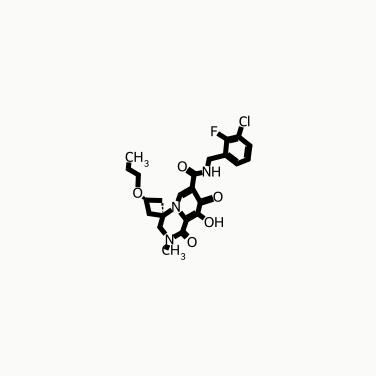 CCCO[C@H]1C[C@]2(CN(C)C(=O)c3c(O)c(=O)c(C(=O)NCc4cccc(Cl)c4F)cn32)C1